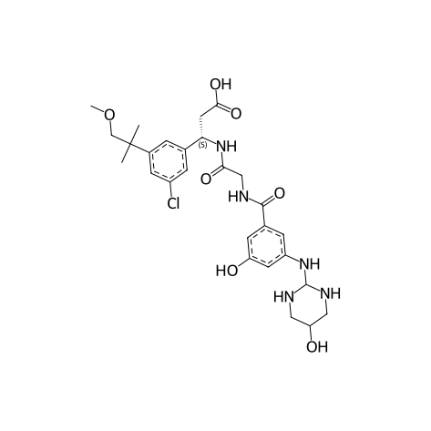 COCC(C)(C)c1cc(Cl)cc([C@H](CC(=O)O)NC(=O)CNC(=O)c2cc(O)cc(NC3NCC(O)CN3)c2)c1